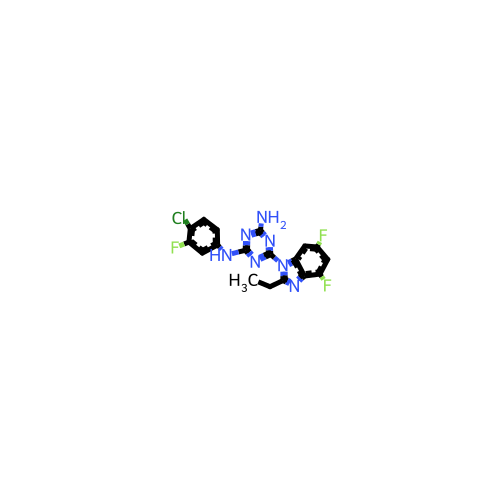 CCc1nc2c(F)cc(F)cc2n1-c1nc(N)nc(Nc2ccc(Cl)c(F)c2)n1